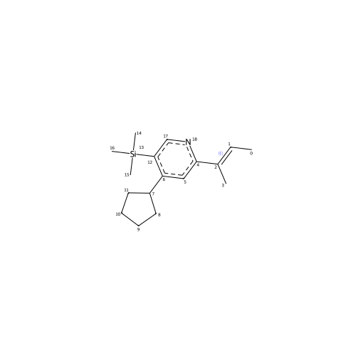 C/C=C(\C)c1cc(C2CCCC2)c([Si](C)(C)C)cn1